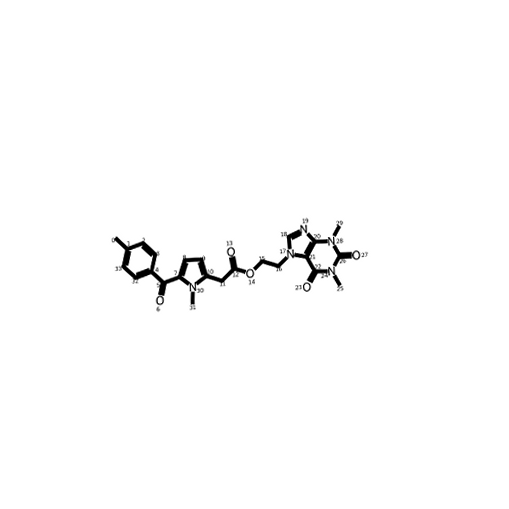 Cc1ccc(C(=O)c2ccc(CC(=O)OCCn3cnc4c3c(=O)n(C)c(=O)n4C)n2C)cc1